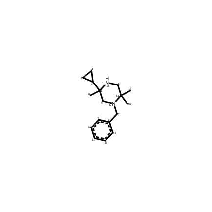 CC1(C2CC2)CN(Cc2ccccc2)C(C)(C)CN1